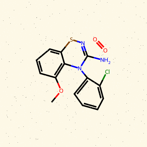 COc1cccc2c1N(c1ccccc1Cl)C(N)=NS2.O=O